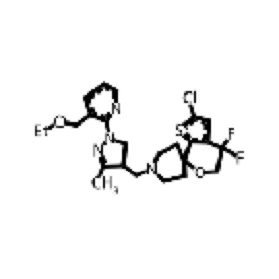 CCOCc1cccnc1N1CC(CN2CCC3(CC2)OCC(F)(F)c2cc(Cl)sc23)C(C)=N1